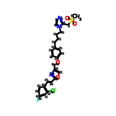 CS(=O)(=O)Cc1nccn1CCCCc1ccc(OCc2coc(C=Cc3ccc(F)cc3Cl)n2)cc1